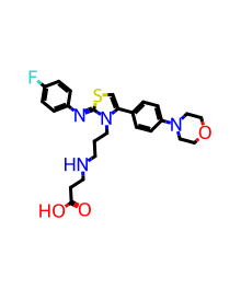 O=C(O)CCNCCCn1c(-c2ccc(N3CCOCC3)cc2)csc1=Nc1ccc(F)cc1